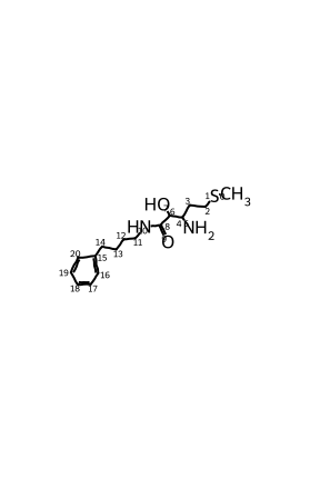 CSCCC(N)C(O)C(=O)NCCCCc1ccccc1